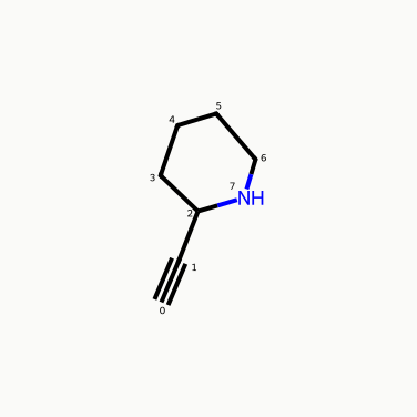 C#CC1CCCCN1